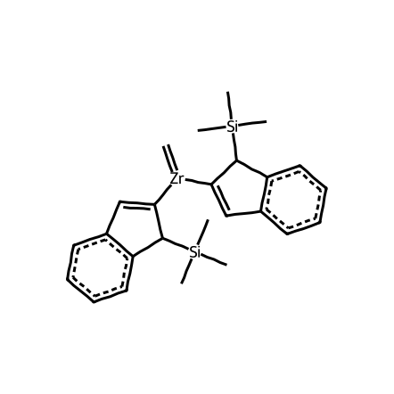 [CH2]=[Zr]([C]1=Cc2ccccc2C1[Si](C)(C)C)[C]1=Cc2ccccc2C1[Si](C)(C)C